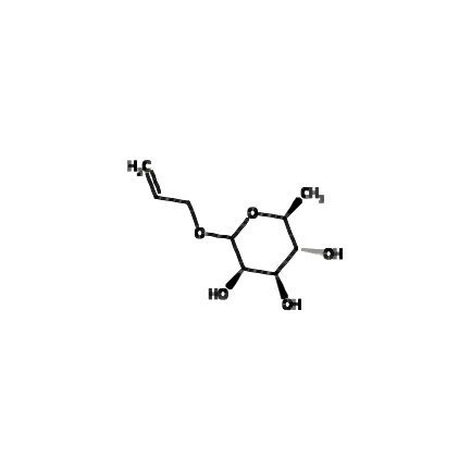 C=CCOC1O[C@@H](C)[C@H](O)[C@@H](O)[C@H]1O